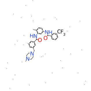 Cc1ccc(NC(=O)c2cccc(C(F)(F)F)c2)cc1NC(=O)c1cccc(CN2CCN(C)CC2)c1